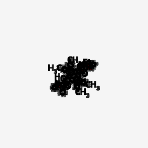 CCN(C(=O)C(Cc1cc2ccccc2[nH]1)N1C(=O)c2cc(Oc3ccc(C)cc3)c3c4c(Oc5ccc(C)cc5)cc5c6c(cc(Oc7ccc(C)cc7)c(c7c(Oc8ccc(C)cc8)cc(c2c37)C1=O)c64)C(=O)N(C(Cc1cc2ccccc2[nH]1)C(=O)N(CC)C1CCCCC1)C5=O)C1CCCCC1